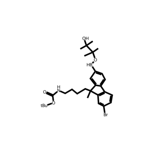 CC(C)(C)OC(=O)NCCCCC1(C)c2cc(Br)ccc2-c2ccc(BOC(C)(C)C(C)(C)O)cc21